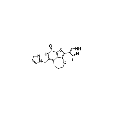 Cc1n[nH]cc1-c1sc2c(=O)[nH]c(Cn3cccn3)c3c2c1OCCC3